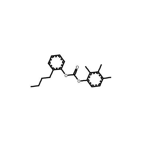 CCCCc1ccccc1OC(=O)Oc1ccc(C)c(C)c1C